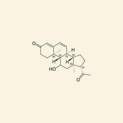 CC(=O)[C@H]1CC[C@H]2[C@@H]3C=CC4=CC(=O)CC[C@]4(C)[C@H]3C(O)C[C@]12C